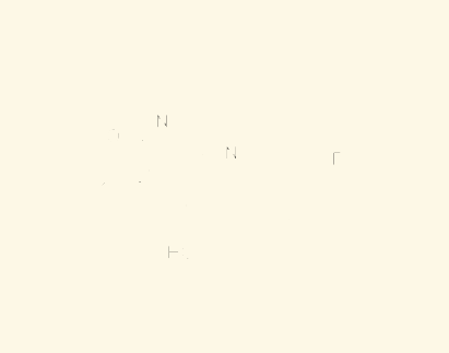 CN(C(=O)C12CC3CC(CC(C3)C1)C2)C1CCN(CCc2ccccc2F)C1.Cl